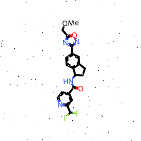 COCc1nc(-c2ccc3c(c2)CCC3NC(=O)c2ccnc(C(F)F)c2)no1